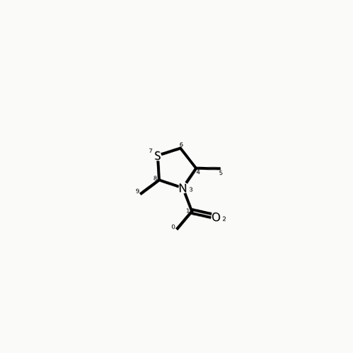 CC(=O)N1C(C)CSC1C